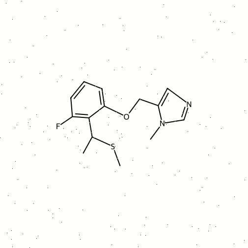 CSC(C)c1c(F)cccc1OCc1cncn1C